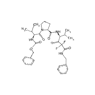 CC(C)[C@H](NC(=O)OCc1ccccc1)C(=O)N1CCC[C@H]1C(=O)N[C@H](C(=O)C(F)(F)C(=O)NCc1ccccc1)C(C)C